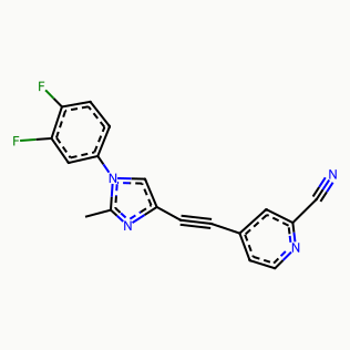 Cc1nc(C#Cc2ccnc(C#N)c2)cn1-c1ccc(F)c(F)c1